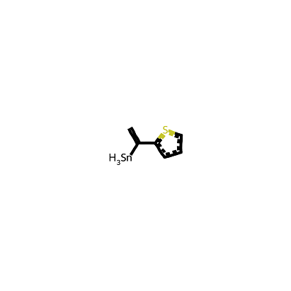 C=[C]([SnH3])c1cccs1